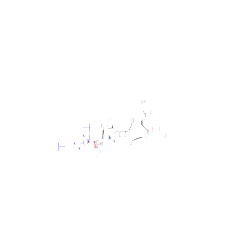 COc1ccc(-c2nc(C(=O)NN)cs2)cc1OC